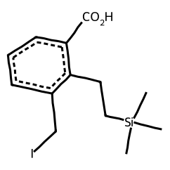 C[Si](C)(C)CCc1c(CI)cccc1C(=O)O